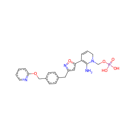 NC1=C(c2cc(Cc3ccc(COc4ccccn4)cc3)no2)C=CCN1COP(=O)(O)O